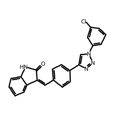 O=C1Nc2ccccc2C1=Cc1ccc(-c2cn(-c3cccc(Cl)c3)nn2)cc1